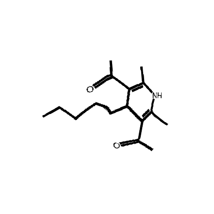 CCCCCC1C(C(C)=O)=C(C)NC(C)=C1C(C)=O